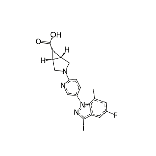 Cc1cc(F)cc2c(I)nn(-c3ccc(N4C[C@@H]5C(C(=O)O)[C@@H]5C4)nc3)c12